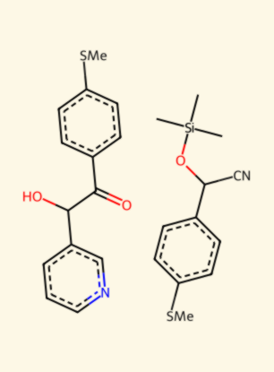 CSc1ccc(C(=O)C(O)c2cccnc2)cc1.CSc1ccc(C(C#N)O[Si](C)(C)C)cc1